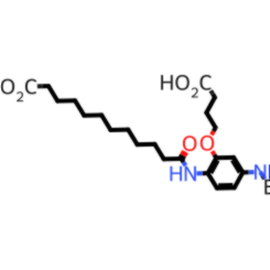 CCNc1ccc(NC(=O)CCCCCCCCCCC(=O)O)c(OCCCC(=O)O)c1